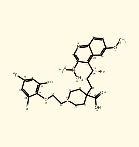 COc1ccc2ncc(N(C)C)c([C@H](F)CCC3(C(=O)O)CCN(CCOc4c(F)cc(F)cc4F)CC3)c2c1